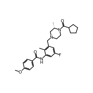 COc1ccc(C(=O)Nc2cc(F)cc(CN3CCN(C(=O)C4CCCC4)[C@@H](C)C3)c2C)cc1